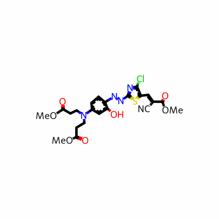 COC(=O)CCN(CCC(=O)OC)c1ccc(/N=N/c2nc(Cl)c(/C=C(\C#N)C(=O)OC)s2)c(O)c1